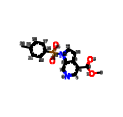 COC(=O)c1cncc2c1ccn2S(=O)(=O)c1ccc(C)cc1